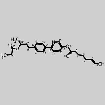 CC=CCCCCC(=O)Oc1ccc(-c2ccc(CCC(C)OC(=O)CC)cc2)nc1